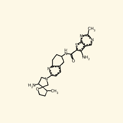 Cc1ncc2c(N)c(C(=O)NC3CCc4nc(N5CC(N)C6(C5)OCCC6C)ccc4C3)sc2n1